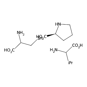 CC(C)C(N)C(=O)O.NC(CS)C(=O)O.O=C(O)[C@@H]1CCCN1